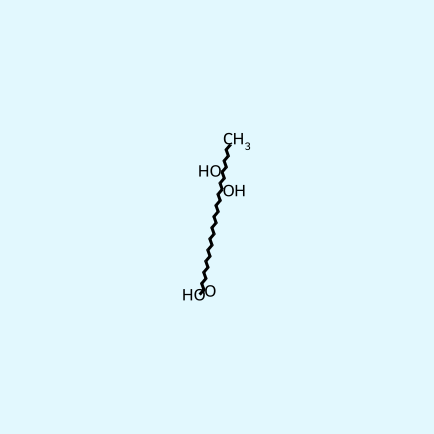 CCCCCCC(O)CCC(O)CCCCCCCCCCCCCCCCCC(=O)O